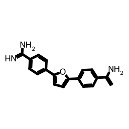 C=C(N)c1ccc(-c2ccc(-c3ccc(C(=N)N)cc3)o2)cc1